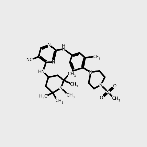 CN1C(C)(C)CC(Nc2nc(Nc3ccc(N4CCN(S(C)(=O)=O)CC4)c(C(F)(F)F)c3)ncc2C#N)CC1(C)C